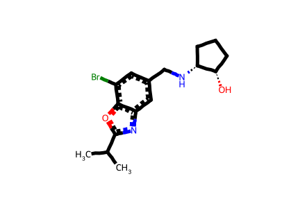 CC(C)c1nc2cc(CN[C@@H]3CCC[C@@H]3O)cc(Br)c2o1